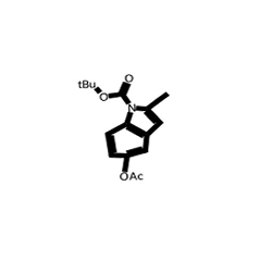 CC(=O)Oc1ccc2c(c1)cc(C)n2C(=O)OC(C)(C)C